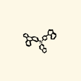 c1ccc2cc(N(c3ccc(-c4cccc5ccccc45)cc3)c3ccc4c5ccccc5c5ccccc5c4c3)ccc2c1